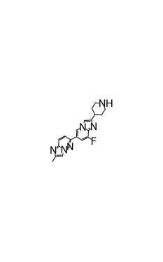 Cc1cn2nc(-c3cc(F)c4nc(C5CCNCC5)cn4c3)ccc2n1